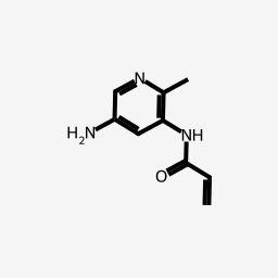 C=CC(=O)Nc1cc(N)cnc1C